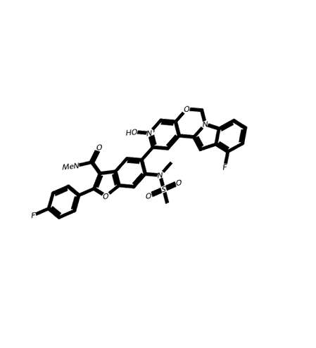 CNC(=O)c1c(-c2ccc(F)cc2)oc2cc(N(C)S(C)(=O)=O)c(-c3cc4c(c[n+]3O)OCn3c-4cc4c(F)cccc43)cc12